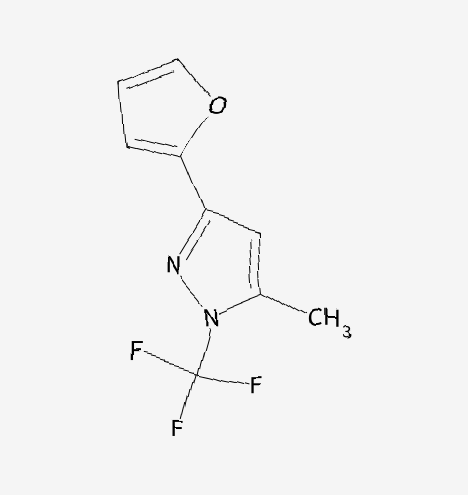 Cc1cc(-c2ccco2)nn1C(F)(F)F